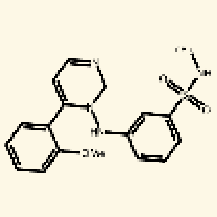 CCCCNS(=O)(=O)c1cccc(NN2CN=CC=C2c2ccccc2OC)c1